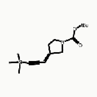 CC(C)(C)OC(=O)N1CCC(=CC#C[Si](C)(C)C)C1